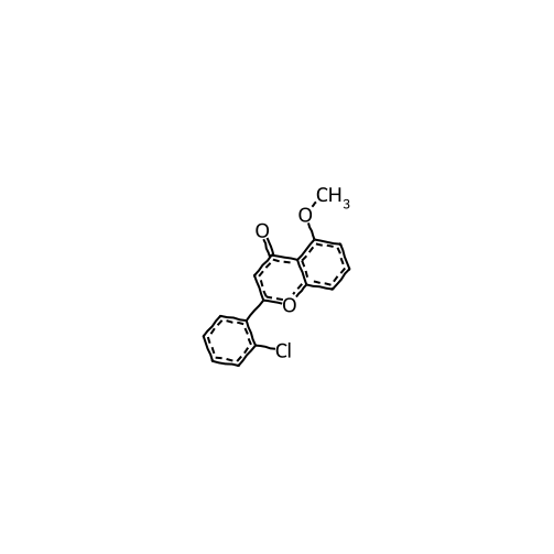 COc1cccc2oc(-c3ccccc3Cl)cc(=O)c12